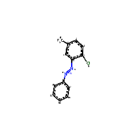 FC(F)(F)c1ccc(Cl)c(/N=N/c2ccccc2)c1